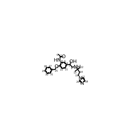 CC(=O)Nc1cc(C(O)CNC(C)(C)CCn2ccnc2)ccc1OCc1ccccc1